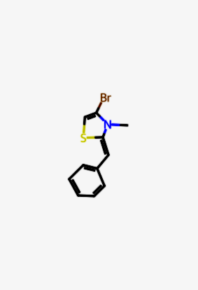 CN1C(Br)=CS/C1=C\c1ccccc1